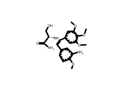 COc1ccc(/C=C\c2cc(OC)c(OC)c(OC)c2)cc1N.NC(=O)[C@@H](N)CO